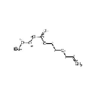 C=CCOCCOC(=O)OOOC(C)(C)C